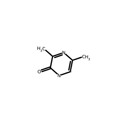 CC1=[C][N]C(=O)C(C)=N1